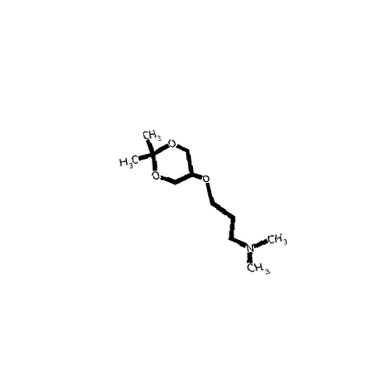 CN(C)CCCOC1COC(C)(C)OC1